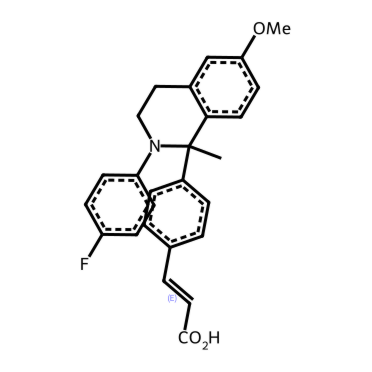 COc1ccc2c(c1)CCN(c1ccc(F)cc1)C2(C)c1ccc(/C=C/C(=O)O)cc1